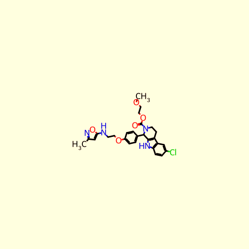 COCCOC(=O)N1CCc2c([nH]c3ccc(Cl)cc23)C1c1ccc(OCCNc2cc(C)no2)cc1